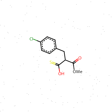 COC(=O)C(Cc1ccc(Cl)cc1)C(O)=S